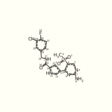 CS(=O)(=O)c1cnc(N)nc1-c1c[nH]c(C(=O)NCc2ccc(F)c(Cl)c2)c1